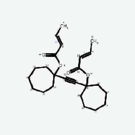 C/C=C/C(=O)OC1(C#CC2(OC(=O)/C=C/C)CCCCCC2)CCCCCC1